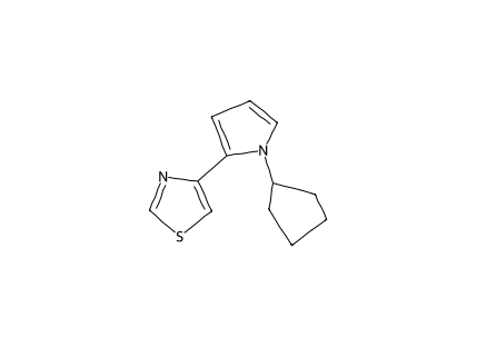 c1cc(-c2cscn2)n(C2CCCC2)c1